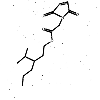 CCCC(CCOC(=O)CN1C(=O)C=CC1=O)C(C)C